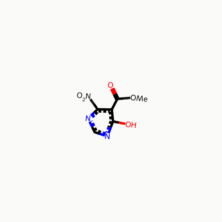 COC(=O)c1c(O)ncnc1[N+](=O)[O-]